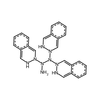 NN(N1C=c2ccccc2=CN1)N(N1C=c2ccccc2=CN1)N1C=c2ccccc2=CN1